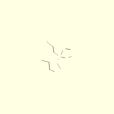 CCCO.CCC[Si](OC)(OC)OC